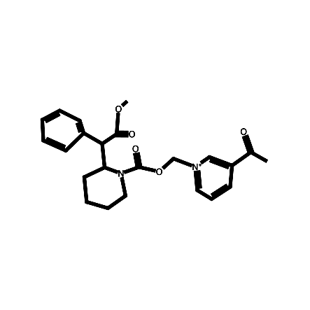 COC(=O)C(c1ccccc1)C1CCCCN1C(=O)OC[n+]1cccc(C(C)=O)c1